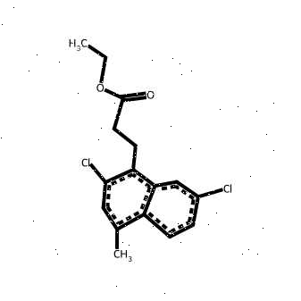 CCOC(=O)CCc1c(Cl)cc(C)c2ccc(Cl)cc12